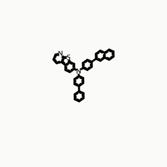 c1ccc(-c2ccc(N(c3ccc(-c4ccc5ccccc5c4)cc3)c3ccc4c(c3)sc3ncccc34)cc2)cc1